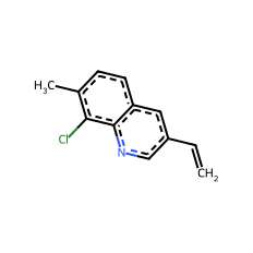 C=Cc1cnc2c(Cl)c(C)ccc2c1